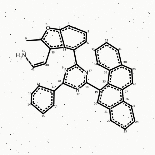 Cc1oc2cccc(-c3nc(-c4ccccc4)nc(-c4cc5ccccc5c5ccc6ccccc6c45)n3)c2c1/C=C\N